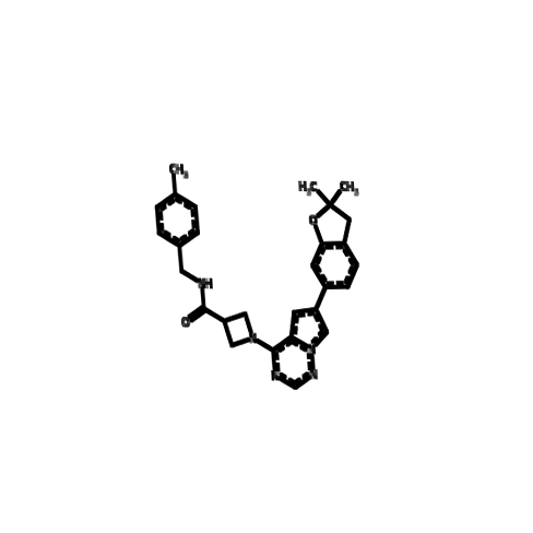 Cc1ccc(CNC(=O)C2CN(c3ncnn4cc(-c5ccc6c(c5)OC(C)(C)C6)cc34)C2)cc1